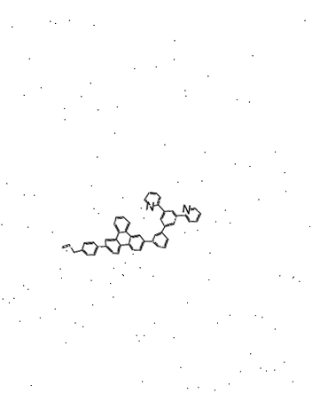 C=CCc1ccc(-c2ccc3c4ccc(-c5cccc(-c6cc(-c7ccccn7)cc(-c7ccccn7)c6)c5)cc4c4ccccc4c3c2)cc1